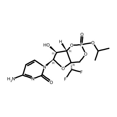 CC(C)OP1(=O)OC[C@@]2(C(F)F)O[C@@H](n3ccc(N)nc3=O)[C@@H](O)[C@@H]2O1